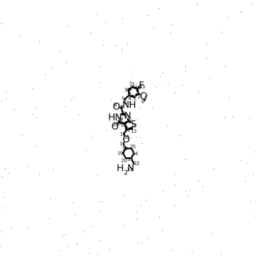 COc1cc(CNC(=O)c2nc3scc(COCC4CCC(CN)CC4)c3c(=O)[nH]2)ccc1F